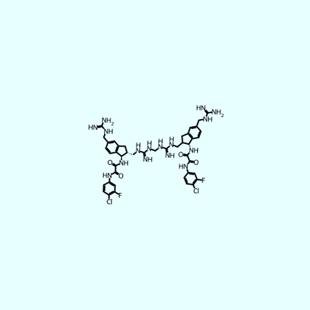 N=C(N)NCc1ccc2c(c1)CC(CNC(=N)NCNC(=N)NC[C@H]1Cc3cc(CNC(=N)N)ccc3[C@@H]1NC(=O)C(=O)Nc1ccc(Cl)c(F)c1)[C@H]2NC(=O)C(=O)Nc1ccc(Cl)c(F)c1